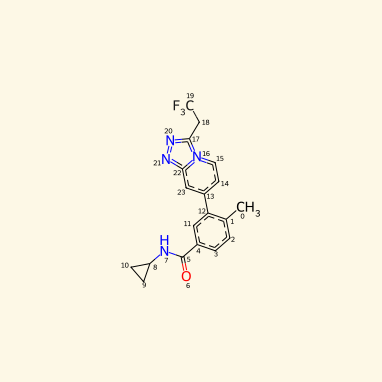 Cc1ccc(C(=O)NC2CC2)cc1-c1ccn2c(CC(F)(F)F)nnc2c1